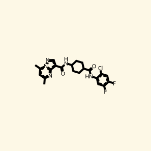 Cc1cc(C)n2ncc(C(=O)NC3CCC(C(=O)Nc4cc(F)c(F)cc4Cl)CC3)c2n1